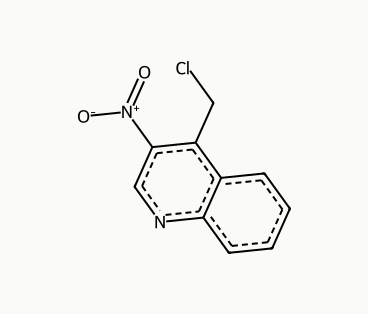 O=[N+]([O-])c1cnc2ccccc2c1CCl